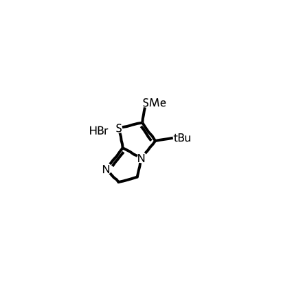 Br.CSC1=C(C(C)(C)C)N2CCN=C2S1